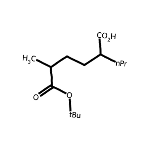 CCCC(CCC(C)C(=O)OC(C)(C)C)C(=O)O